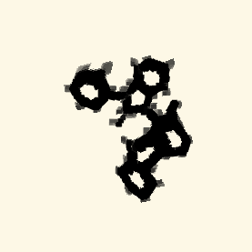 Cc1ccc2c(oc3ccccc32)c1N1c2nccnc2N(c2ccccc2)[C@H]1C